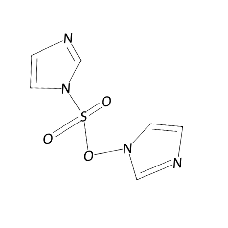 O=S(=O)(On1ccnc1)n1ccnc1